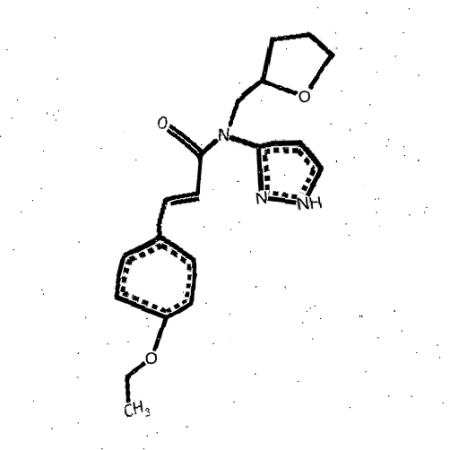 CCOc1ccc(/C=C/C(=O)N(CC2CCCO2)c2cc[nH]n2)cc1